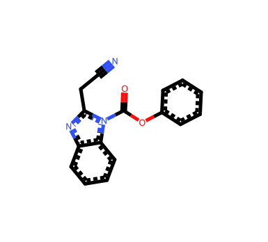 N#CCc1nc2ccccc2n1C(=O)Oc1ccccc1